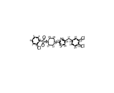 O=S(=O)(c1ccccc1Cl)N1CCN(c2nc(Cc3ccc(Cl)c(Cl)c3)cs2)CC1